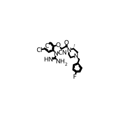 C[C@@H]1CN(Cc2ccc(F)cc2)CCN1C(=O)COc1ccc(Cl)cc1N(C#N)C(=N)N